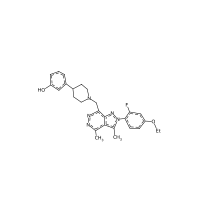 CCOc1ccc(-n2nc3c(CN4CCC(c5cccc(O)c5)CC4)nnc(C)c3c2C)c(F)c1